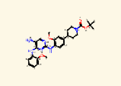 COc1cc(C2CCN(C(=O)OC(C)(C)C)CC2)ccc1Nc1ncc(N)c(Nc2ccccc2OC)n1